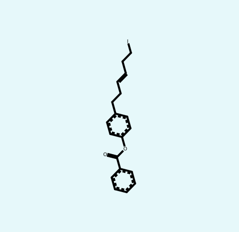 O=C(Oc1ccc(CCC=CCCI)cc1)c1ccccc1